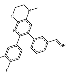 Cc1cc(-c2nc3c(cc2-c2cccc(C=N)c2)N(C)CCO3)ccc1F